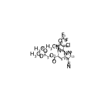 COC(COC(=O)/C=C/c1c(C#N)cnn1-c1nn(C)c(OC(F)F)c1Cl)OC